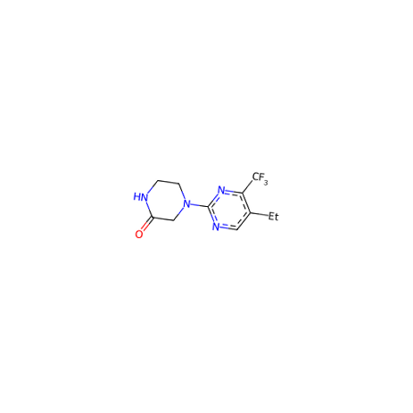 CCc1cnc(N2CCNC(=O)C2)nc1C(F)(F)F